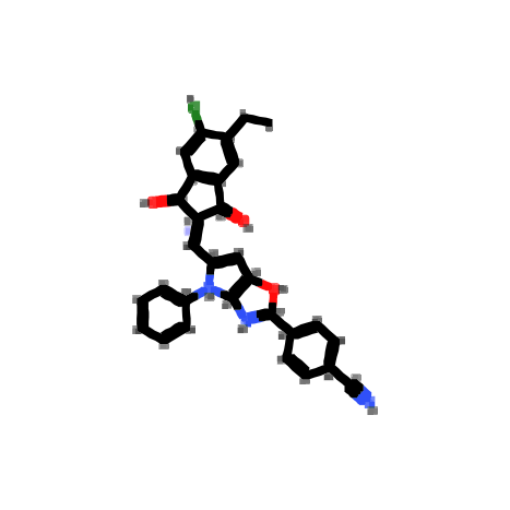 CCc1cc2c(cc1Cl)C(=O)/C(=C/c1cc3oc(-c4ccc(C#N)cc4)nc3n1-c1ccccc1)C2=O